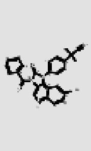 CC(C)(C#N)c1ccc(-n2c(=O)n(C(=O)c3ccccc3)c3cnc4ccc(Cl)cc4c32)cc1